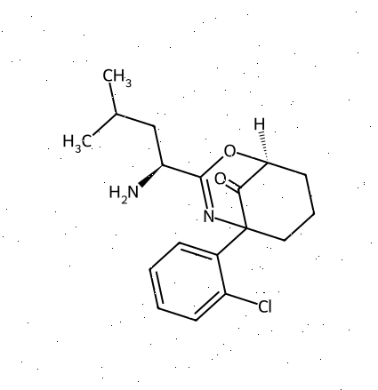 CC(C)C[C@H](N)C1=NC2(c3ccccc3Cl)CCC[C@H](O1)C2=O